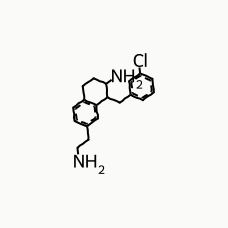 NCCc1ccc2c(c1)C(Cc1cccc(Cl)c1)C(N)CC2